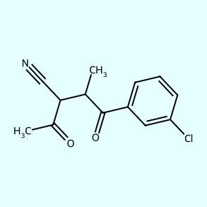 CC(=O)C(C#N)C(C)C(=O)c1cccc(Cl)c1